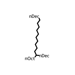 CCCCCCCCCCCCCCCCCCCCC(CCCCCCCC)CCCCCCCCCC